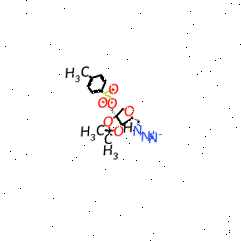 Cc1ccc(S(=O)(=O)OC[C@]23CO[C@H](CN=[N+]=[N-])[C@H]2OC(C)(C)O3)cc1